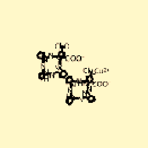 O=C(Cl)c1cc(C(=O)[O-])c2c3nc4nc(nc5[nH]c(nc6nc(nc([nH]3)c2c1)-c1ccccc1-6)c1ccccc51)-c1ccccc1-4.O=C(Cl)c1cc(C(=O)[O-])c2c3nc4nc(nc5[nH]c(nc6nc(nc([nH]3)c2c1)-c1ccccc1-6)c1ccccc51)-c1ccccc1-4.[Cu+2]